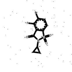 O=C1c2c(ccc(Br)c2F)S(=O)(=O)N1C1CC1